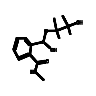 CNC(=O)c1ccccc1B(O)OC(C)(C)C(C)(C)O